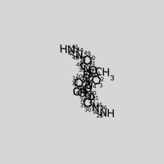 Cc1cccc(S(=O)(=O)c2cccc(C)c2S(=O)(=O)n2ccc3c(N4CCNCC4)cccc32)c1S(=O)(=O)n1ccc2c(N3CCNCC3)cccc21